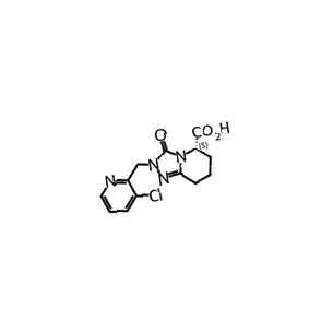 O=C(O)[C@@H]1CCCc2nn(Cc3ncccc3Cl)c(=O)n21